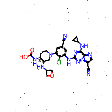 N#Cc1cc(Nc2nc(NC3CC3)c3ncc(C#N)n3n2)c(Cl)c(N2CC[C@H](NC(=O)O)[C@@H](NC3COC3)C2)c1